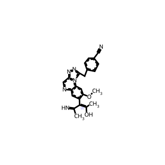 COc1cc2c(cc1/C(C(C)=N)=C(\C)O)ncc1nnc(Cc3ccc(C#N)cc3)n12